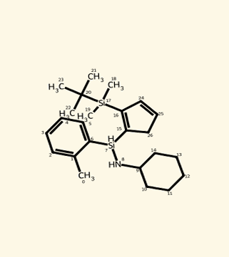 Cc1ccccc1[SiH](NC1CCCCC1)C1=C([Si](C)(C)C(C)(C)C)C=CC1